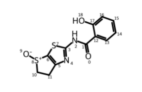 O=C(Nc1nc2c(s1)[S+]([O-])CC2)c1ccccc1O